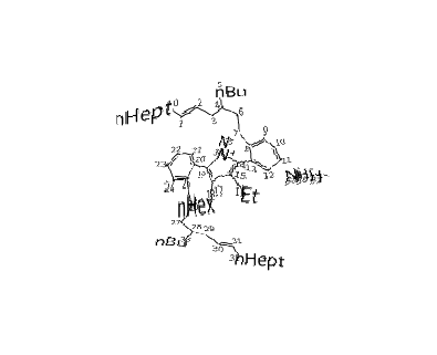 CCCCCCCC=CCC(CCCC)CCc1ccccc1C1=C(CC)C(CCCCCC)=C(c2ccccc2CCC(CC=CCCCCCCC)CCCC)[N+]1=[N-].[H-].[H-].[Ni]